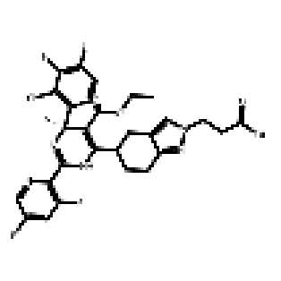 CCOC(=O)C1=C(C2CCc3nn(CCC(=O)O)cc3C2)NC(c2ncc(F)cc2F)=N[C@@]1(C)c1ccc(F)c(F)c1Cl